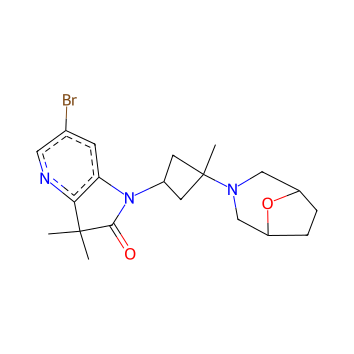 CC1(C)C(=O)N(C2CC(C)(N3CC4CCC(C3)O4)C2)c2cc(Br)cnc21